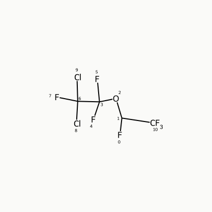 FC(OC(F)(F)C(F)(Cl)Cl)C(F)(F)F